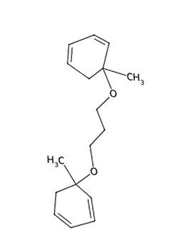 CC1(OCCCOC2(C)C=CC=CC2)C=CC=CC1